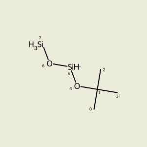 CC(C)(C)O[SiH]O[SiH3]